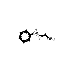 CC(C)(C)C[O][GeH][c]1ccccc1